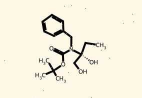 CC[C@@](O)(CO)N(Cc1ccccc1)C(=O)OC(C)(C)C